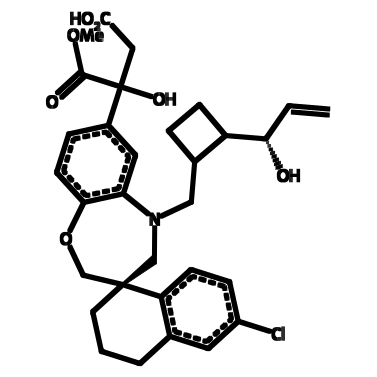 C=C[C@H](O)C1CCC1CN1C[C@@]2(CCCc3cc(Cl)ccc32)COc2ccc(C(O)(CC(=O)O)C(=O)OC)cc21